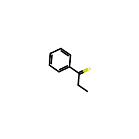 C[CH]C(=S)c1ccccc1